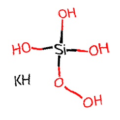 OO[Si](O)(O)O.[KH]